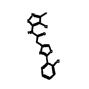 Cc1nsc(NC(=O)Cc2coc(-c3ccccc3Cl)n2)c1Cl